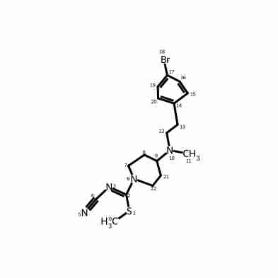 CSC(=NC#N)N1CCC(N(C)CCc2ccc(Br)cc2)CC1